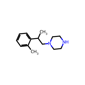 Cc1ccccc1C(C)CN1CCNCC1